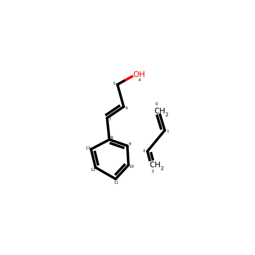 C=CC=C.OC/C=C/c1ccccc1